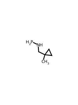 CC1(CNP)CC1